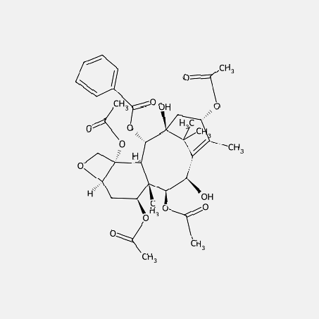 CC(=O)O[C@H]1C[C@@]2(O)[C@@H](OC(=O)c3ccccc3)[C@@H]3[C@]4(OC(C)=O)CO[C@@H]4C[C@H](OC(C)=O)[C@@]3(C)[C@H](OC(C)=O)[C@H](O)C(=C1C)C2(C)C